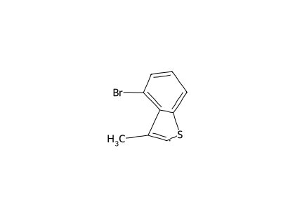 Cc1[c]sc2cccc(Br)c12